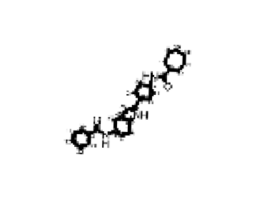 O=C(Nc1ccc2[nH]c(-c3ccc(NC(=O)C4CCCCCC4)cc3)cc2c1)c1ccccc1